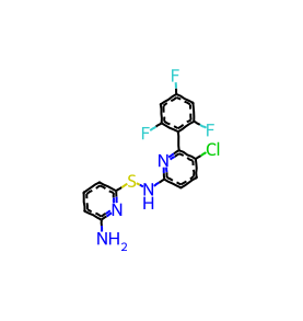 Nc1cccc(SNc2ccc(Cl)c(-c3c(F)cc(F)cc3F)n2)n1